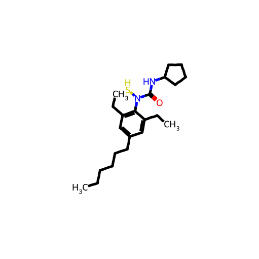 CCCCCCc1cc(CC)c(N(S)C(=O)NC2CCCC2)c(CC)c1